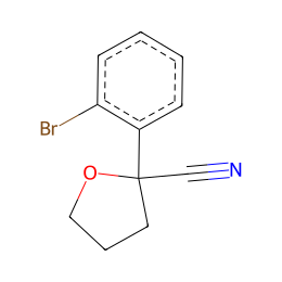 N#CC1(c2ccccc2Br)CCCO1